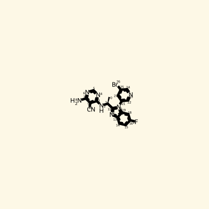 C[C@H](Nc1ncnc(N)c1C#N)c1nc2ccc(F)cc2n1-c1cncc(Br)c1